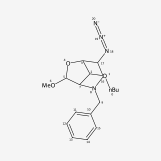 CCCCOC1C2OC(OC)C1N(Cc1ccccc1)CC2N=[N+]=[N-]